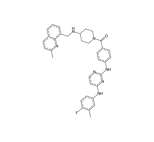 Cc1ccc2cccc(CNC3CCN(C(=O)c4ccc(Nc5nccc(Nc6ccc(F)c(C)c6)n5)cc4)CC3)c2n1